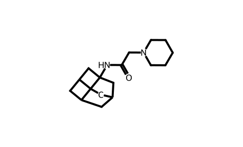 O=C(CN1CCCCC1)NC12CC3CC4CC(C1)C42C3